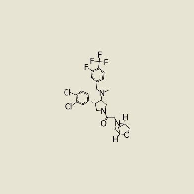 CN(Cc1ccc(C(F)(F)F)c(F)c1)C1CN(C(=O)CN2C[C@@H]3C[C@@H]2CO3)C[C@@H]1c1ccc(Cl)c(Cl)c1